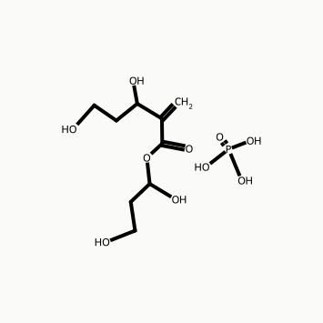 C=C(C(=O)OC(O)CCO)C(O)CCO.O=P(O)(O)O